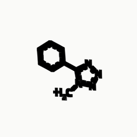 [CH2]n1nnnc1-c1ccccc1